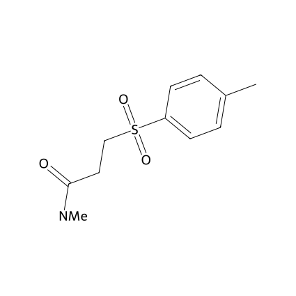 CNC(=O)CCS(=O)(=O)c1ccc(C)cc1